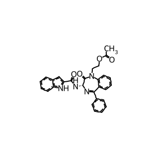 CC(=O)OCCN1C(=O)[C@@H](NC(=O)c2cc3ccccc3[nH]2)N=C(c2ccccc2)c2ccccc21